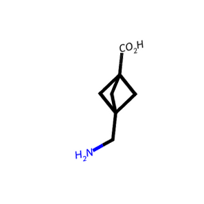 NCC12CC(C(=O)O)(C1)C2